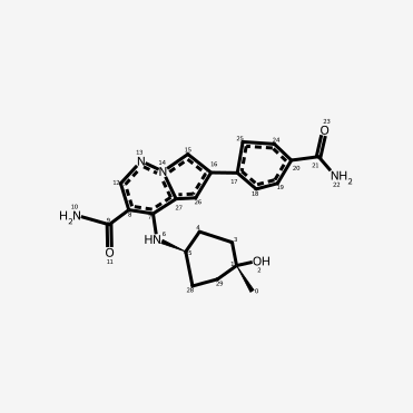 C[C@]1(O)CC[C@H](Nc2c(C(N)=O)cnn3cc(-c4ccc(C(N)=O)cc4)cc23)CC1